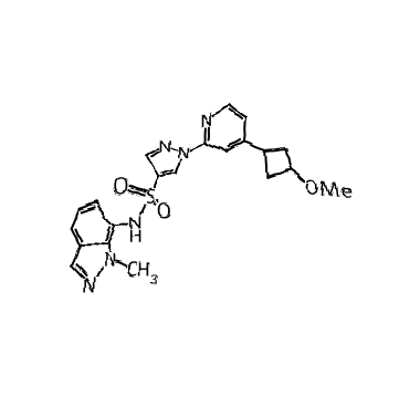 COC1CC(c2ccnc(-n3cc(S(=O)(=O)Nc4cccc5cnn(C)c45)cn3)c2)C1